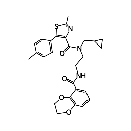 Cc1ccc(-c2sc(C)nc2C(=O)N(CCNC(=O)c2cccc3c2OCCO3)CC2CC2)cc1